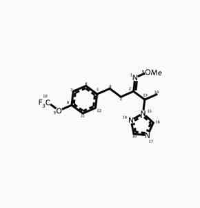 CON=C(CCc1ccc(OC(F)(F)F)cc1)C(C)n1cncn1